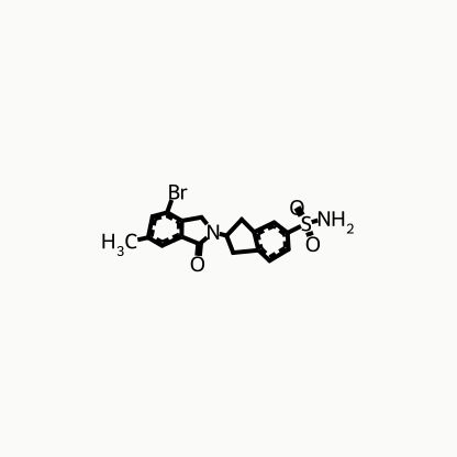 Cc1cc(Br)c2c(c1)C(=O)N(C1Cc3ccc(S(N)(=O)=O)cc3C1)C2